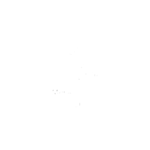 CCC(CCC(=O)c1ccccc1)OC